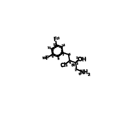 NC[C@H](O)C(Cl)Cc1cc(F)cc(F)c1